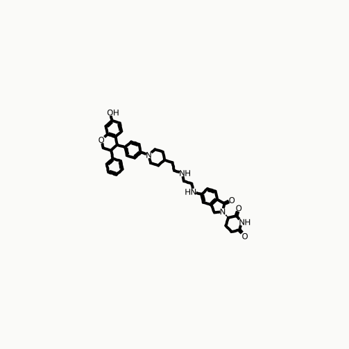 O=C1CC[C@H](N2Cc3cc(NCCNCCC4CCN(c5ccc(C6c7ccc(O)cc7OCC6c6ccccc6)cc5)CC4)ccc3C2=O)C(=O)N1